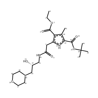 CCOC(=O)c1c(CC(=O)NC[C@@H](O)CN2CCOCC2)[nH]c(C(=O)OC(C)(C)C)c1C